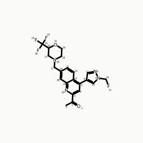 CC(=O)c1cc(-c2cnn(CF)c2)c2ccc(CN3CCOC(C(F)(F)F)C3)cc2n1